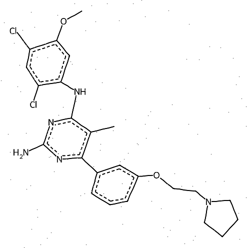 COc1cc(Nc2nc(N)nc(-c3cccc(OCCN4CCCC4)c3)c2C)c(Cl)cc1Cl